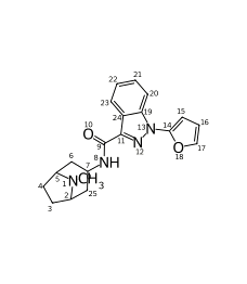 CN1C2CCC1CC(NC(=O)c1nn(-c3ccco3)c3ccccc13)C2